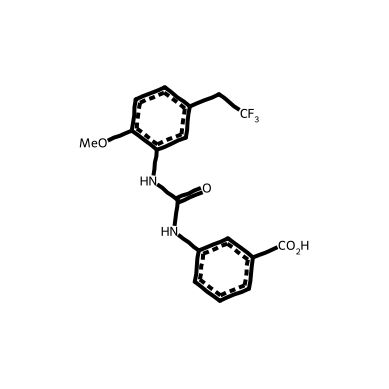 COc1ccc(CC(F)(F)F)cc1NC(=O)Nc1cccc(C(=O)O)c1